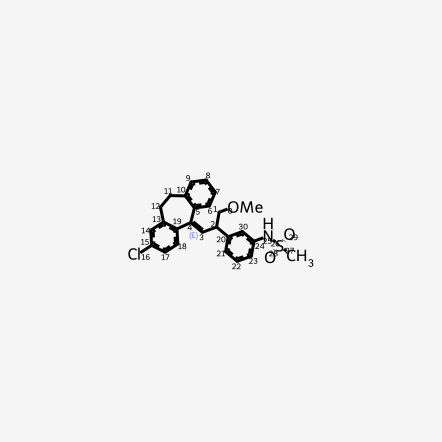 COCC(/C=C1\c2ccccc2CCc2cc(Cl)ccc21)c1cccc(NS(C)(=O)=O)c1